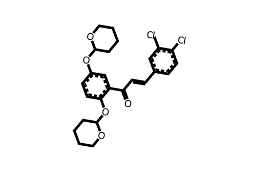 O=C(C=Cc1ccc(Cl)c(Cl)c1)c1cc(OC2CCCCO2)ccc1OC1CCCCO1